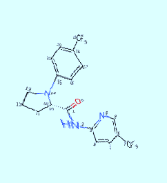 O=C(Nc1ccc(C(F)(F)F)cn1)[C@@H]1CCCN1c1ccc(C(F)(F)F)cc1